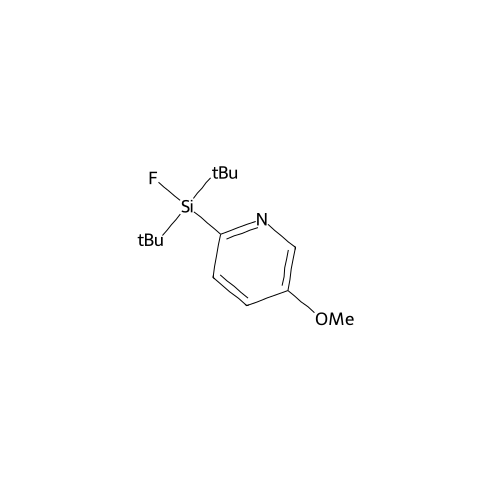 COc1ccc([Si](F)(C(C)(C)C)C(C)(C)C)nc1